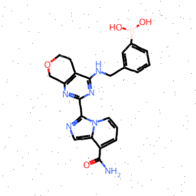 NC(=O)c1cccn2c(-c3nc4c(c(NCc5cccc(B(O)O)c5)n3)CCOC4)ncc12